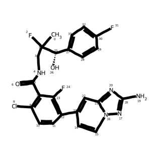 CC(F)(CNC(=O)c1c(Cl)ccc(-c2ccn3nc(N)nc3c2)c1F)[C@@H](O)c1ccc(F)cc1